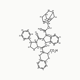 O=C(O)C1Cc2ccccc2CN1C(=O)C1CCC(c2ccccc2)N1C(=O)C1Cc2ccccc2N1C(=O)OC1C2CC3CC(C2)CC1C3